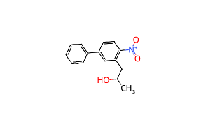 CC(O)Cc1cc(-c2ccccc2)ccc1[N+](=O)[O-]